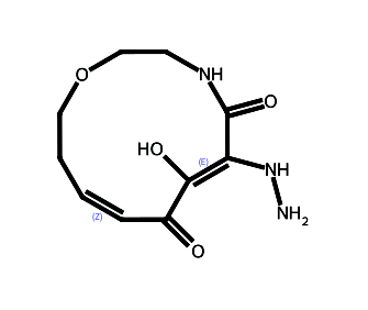 NN/C1=C(/O)C(=O)/C=C\CCOCCNC1=O